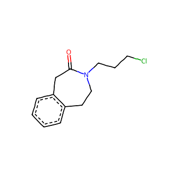 O=C1Cc2ccccc2CCN1CCCCl